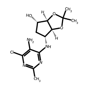 Cc1nc(Cl)c(N)c(N[C@@H]2C[C@H](O)[C@H]3OC(C)(C)O[C@H]32)n1